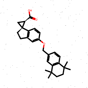 CC1(C)CCC(C)(C)c2cc(COc3ccc4c(c3)CC[C@]43C[C@H]3C(=O)O)ccc21